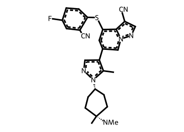 CN[C@]1(C)CC[C@H](n2ncc(-c3cc(Sc4ccc(F)cc4C#N)c4c(C#N)cnn4c3)c2C)CC1